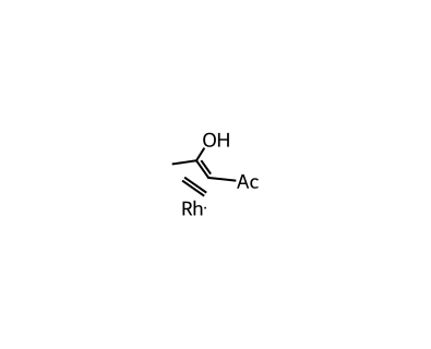 C=C.CC(=O)/C=C(/C)O.[Rh]